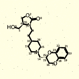 O=C1OC[C@H](CO)N1CCC1CCN(C[C@H]2COc3ccccc3O2)CC1